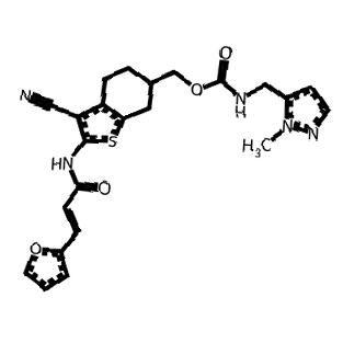 Cn1nccc1CNC(=O)OCC1CCc2c(sc(NC(=O)C=Cc3ccco3)c2C#N)C1